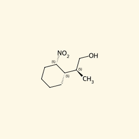 C[C@H](CO)[C@@H]1CCCC[C@@H]1[N+](=O)[O-]